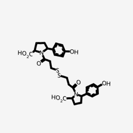 O=C(O)C1CCC(c2ccc(O)cc2)N1C(=O)CCSSCCC(=O)N1C(C(=O)O)CCC1c1ccc(O)cc1